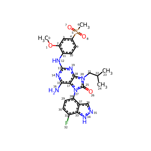 COc1cc(S(C)(=O)=O)ccc1Nc1nc(N)c2c(n1)n(CC(C)C)c(=O)n2-c1ccc(F)c2[nH]ncc12